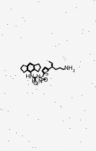 C/C=C(/CCCN)c1ccc(S(N)(=O)=NC(=O)Nc2c3c(cc4c2CCC4)CCC3)s1